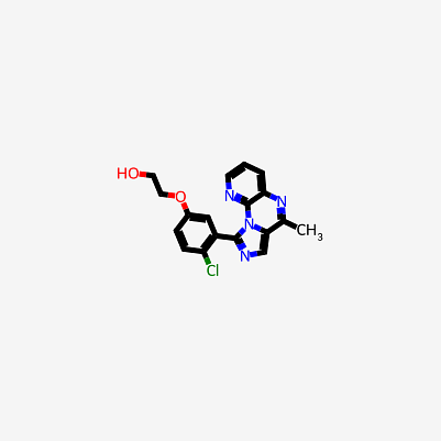 Cc1nc2cccnc2n2c(-c3cc(OCCO)ccc3Cl)ncc12